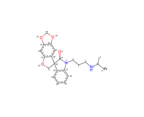 CC(C)C(C)NCCCN1C(=O)C2(COc3cc4c(cc32)OCO4)c2ccccc21